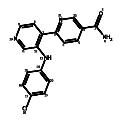 NC(=O)c1ccc(-c2ccncc2Nc2ccc(Cl)cc2)nc1